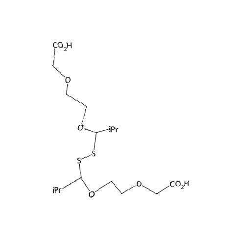 CC(C)C(OCCOCC(=O)O)SSC(OCCOCC(=O)O)C(C)C